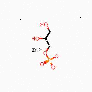 O=P([O-])([O-])OCC(O)CO.[Zn+2]